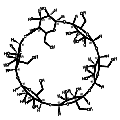 OCC1C[C@@H]2O[C@@H]3C(CO)O[C@H](O[C@@H]4C(CO)O[C@H](O[C@@H]5C(CO)O[C@H](O[C@@H]6C(CO)O[C@H](O[C@@H]7C(CO)O[C@H](O[C@H]1[C@H](O)[C@H]2O)[C@H](O)[C@H]7O)[C@H](O)[C@H]6O)[C@H](O)[C@H]5O)[C@H](O)[C@H]4O)[C@H](O)[C@H]3O